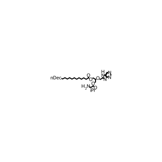 CCCCCCCCCCCCCCCCCCCCCC(=O)OCC(COC(=O)[C@@H](N)C(C)C)OCc1nc2ncncc2[nH]1